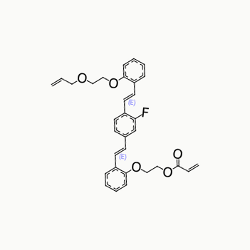 C=CCOCCOc1ccccc1/C=C/c1ccc(/C=C/c2ccccc2OCCOC(=O)C=C)cc1F